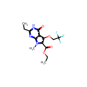 CCOC(=O)c1c(OCC(F)(F)F)c2c(=O)[nH]c(CC)nc2n1C